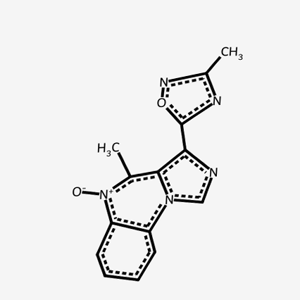 Cc1noc(-c2ncn3c2c(C)[n+]([O-])c2ccccc23)n1